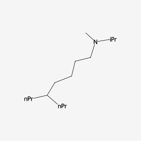 CCCC(CCC)CCCCN(C)C(C)C